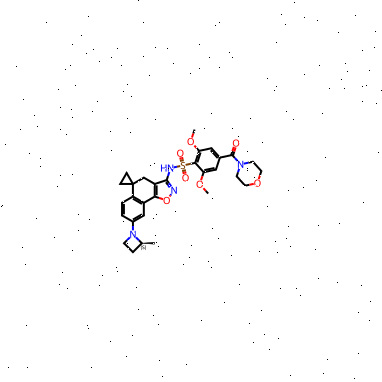 COc1cc(C(=O)N2CCOCC2)cc(OC)c1S(=O)(=O)Nc1noc2c1CC1(CC1)c1ccc(N3CC[C@@H]3C)cc1-2